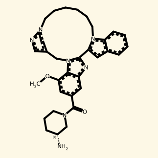 COc1cc(C(=O)N2CCC[C@@H](N)C2)cc2nc3n(c12)Cc1cnn(c1)CCCCCCn1c-3cc2ccccc21